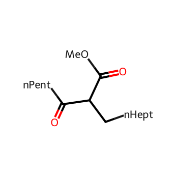 CCCCCCCCC(C(=O)CCCCC)C(=O)OC